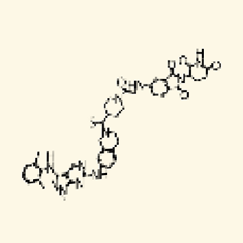 Cc1cccc(C)c1Nc1nn(C)c2nc(Nc3ccc4c(c3)CN(C(=S)C3CCN(C(=O)CNc5ccc6c(c5)C(=O)N(C5CCC(=O)NC5=O)C6=O)CC3)CC4)ncc12